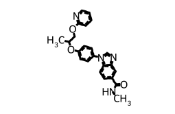 CNC(=O)c1ccc2c(c1)ncn2-c1ccc(OC(C)COc2ccccn2)cc1